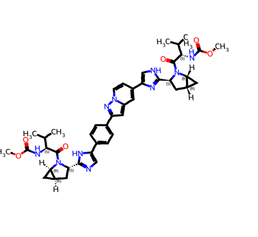 COC(=O)N[C@H](C(=O)N1[C@@H]2C[C@@H]2C[C@H]1c1nc(-c2ccn3nc(-c4ccc(-c5cnc([C@@H]6C[C@H]7C[C@H]7N6C(=O)[C@@H](NC(=O)OC)C(C)C)[nH]5)cc4)cc3c2)c[nH]1)C(C)C